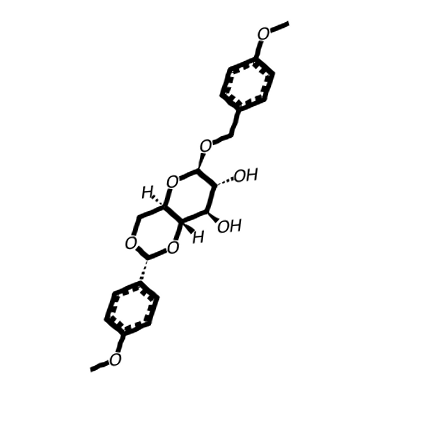 COc1ccc(CO[C@@H]2O[C@@H]3CO[C@@H](c4ccc(OC)cc4)O[C@H]3[C@H](O)[C@H]2O)cc1